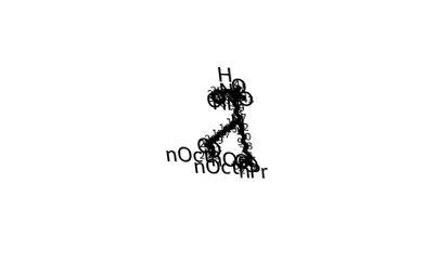 CCCCCCCCC(CCC)OC(=O)CCCCCCCN(CCCCCCCC(=O)OC(CCCCCCCC)CCCCCCCC)CCCNc1c(NC2CCOCC2)c(=O)c1=O